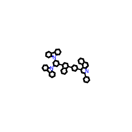 c1ccc(-c2cc(-c3ccc(-c4ccc(-c5cc(-n6c7ccccc7c7ccccc76)cc(-n6c7ccccc7c7ccccc76)c5)c5ccccc45)cc3)c3c(ccc4ccccc43)n2)cc1